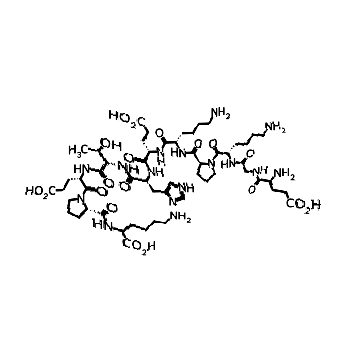 C[C@@H](O)[C@H](NC(=O)[C@H](Cc1c[nH]cn1)NC(=O)[C@H](CCC(=O)O)NC(=O)[C@H](CCCCN)NC(=O)[C@@H]1CCCN1C(=O)[C@H](CCCCN)NC(=O)CNC(=O)[C@@H](N)CCC(=O)O)C(=O)N[C@@H](CCC(=O)O)C(=O)N1CCC[C@H]1C(=O)N[C@@H](CCCCN)C(=O)O